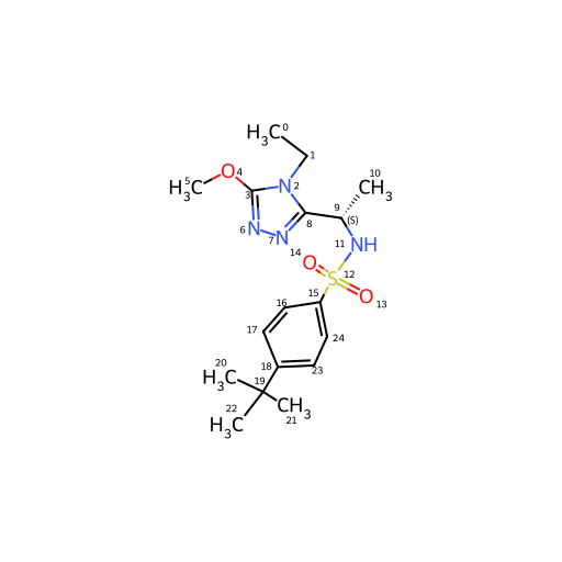 CCn1c(OC)nnc1[C@H](C)NS(=O)(=O)c1ccc(C(C)(C)C)cc1